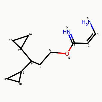 N=C(/C=C\N)OCCC(C1CC1)C1CC1